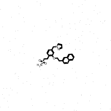 NS(=O)(=O)CCc1ccc(Cn2cccn2)cc1OCCc1ccc2ccccc2c1